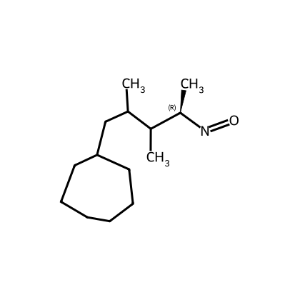 CC(CC1CCCCCC1)C(C)[C@@H](C)N=O